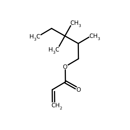 C=CC(=O)OCC(C)C(C)(C)CC